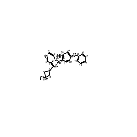 N[N+]12C=CN=CC1=C(C1CC(F)(F)C1)N=C2c1ccc(Oc2ccccc2)cc1